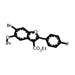 CCOC(=O)c1c(-c2ccc(F)cc2)oc2cc(Br)c(OC(C)C)cc12